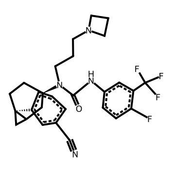 N#Cc1cccc([C@]23CC[C@@H](N(CCCN4CCC4)C(=O)Nc4ccc(F)c(C(F)(F)F)c4)CC2C3)c1